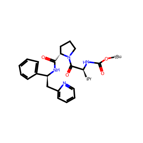 CC(C)[C@H](NC(=O)OC(C)(C)C)C(=O)N1CCC[C@H]1C(=O)N[C@@H](Cc1ccccn1)c1ccccc1